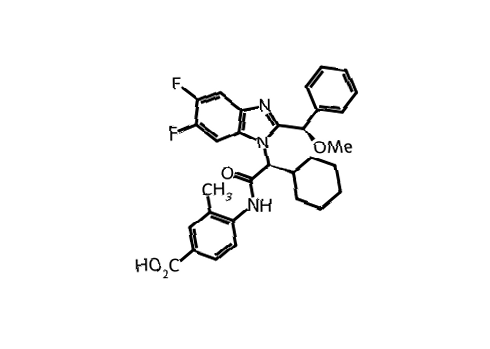 CO[C@H](c1ccccc1)c1nc2cc(F)c(F)cc2n1[C@H](C(=O)Nc1ccc(C(=O)O)cc1C)C1CCCCC1